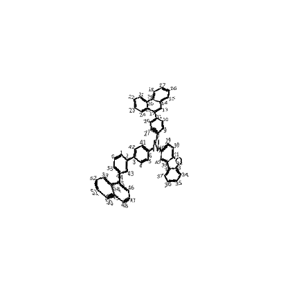 c1cc(-c2ccc(N(c3ccc(-c4cc5ccccc5c5ccccc45)cc3)c3ccc4oc5ccccc5c4c3)cc2)cc(-c2cccc3ccccc23)c1